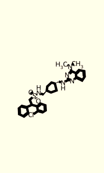 CN(C)c1nc(NC[C@H]2CC[C@H](CNS(=O)(=O)CC(c3ccccc3)c3ccccc3Cl)CC2)nc2ccccc12